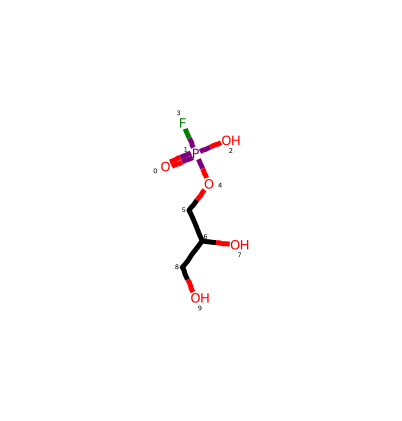 O=P(O)(F)OCC(O)CO